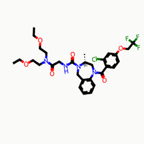 CCOCCN(CCOCC)C(=O)CNC(=O)N1Cc2ccccc2N(C(=O)c2ccc(OCC(F)(F)F)cc2Cl)C[C@H]1C